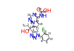 CCC(O)(c1cn(-c2ccccc2F)nn1)c1ccc2c(NC(=O)O)ncnn12